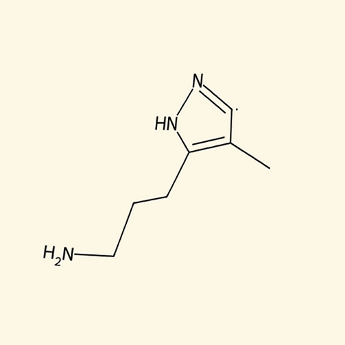 Cc1[c]n[nH]c1CCCN